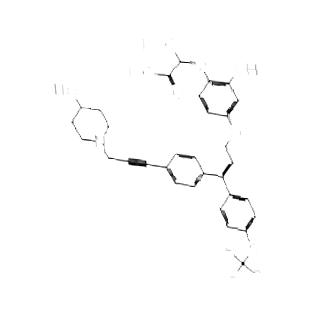 Cc1cc(OC/C=C(\c2ccc(C#CCN3CCC(O)CC3)cc2)c2ccc(SC(F)(F)F)cc2)ccc1OC(C)C(=O)O